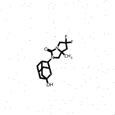 CC12CN(C3C4CC5CC3CC(O)(C5)C4)C(=O)N1CC(F)(F)C2